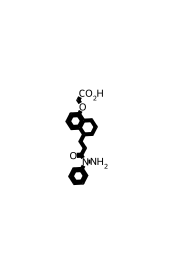 NN(C(=O)CCC1CCCc2c(OCC(=O)O)cccc21)c1ccccc1